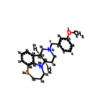 COc1cccc(CN2CC[C@@H]3[C@H](C2)c2cccc4c2N3CCCS4)c1